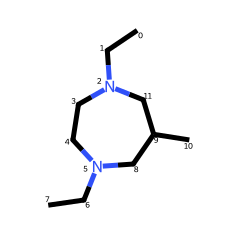 CCN1CCN(CC)CC(C)C1